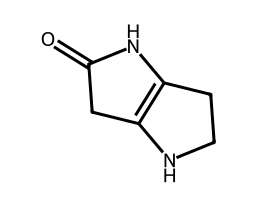 O=C1CC2=C(CCN2)N1